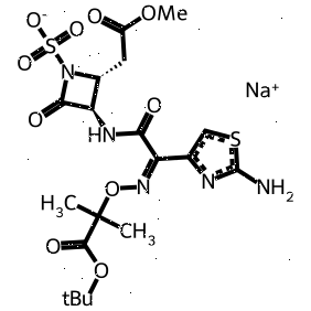 COC(=O)C[C@@H]1[C@@H](NC(=O)C(=NOC(C)(C)C(=O)OC(C)(C)C)c2csc(N)n2)C(=O)N1S(=O)(=O)[O-].[Na+]